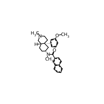 COc1cccc([C@@]23CCN(C)C[C@H]2CC[C@@H](N(C)C(=O)c2ccc4ccccc4c2)C3)c1